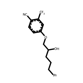 CC(C)CCCC(O)COc1ccc(C#N)c(C(F)(F)F)c1